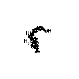 Cc1c(-c2ncnc3[nH]c(-c4ccc(CN5CCN(CCO)CC5)cc4)cc23)cccc1N1CCOc2cc(C3CC3)ccc2C1=O